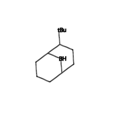 CC(C)(C)C1CCC2BC1CCC2